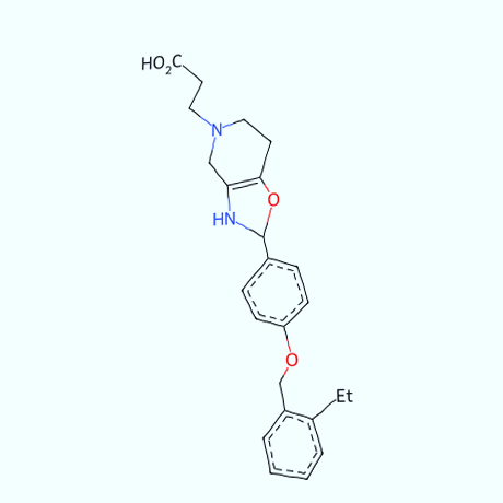 CCc1ccccc1COc1ccc(C2NC3=C(CCN(CCC(=O)O)C3)O2)cc1